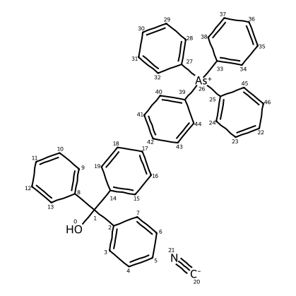 OC(c1ccccc1)(c1ccccc1)c1ccccc1.[C-]#N.c1ccc([As+](c2ccccc2)(c2ccccc2)c2ccccc2)cc1